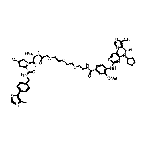 CC[C@@H]1c2c(C#N)ncn2-c2cnc(Nc3ccc(C(=O)NCCOCCOCCOCC(=O)N[C@H](C(=O)N4C[C@H](O)C[C@H]4C(=O)NCc4ccc(-c5scnc5C)cc4)C(C)(C)C)cc3OC)nc2N1C1CCCC1